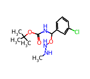 CNNOC(NC(=O)OC(C)(C)C)c1cccc(Cl)c1